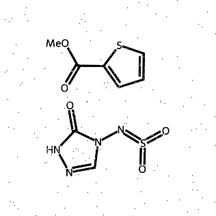 COC(=O)c1cccs1.O=c1[nH]ncn1N=S(=O)=O